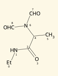 CCNC(=O)C(C)N(C=O)C=O